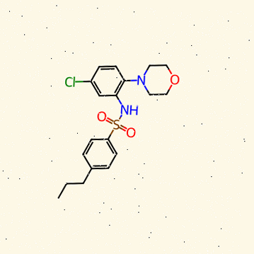 CCCc1ccc(S(=O)(=O)Nc2cc(Cl)ccc2N2CCOCC2)cc1